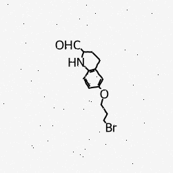 O=CC1CCc2cc(OCCCBr)ccc2N1